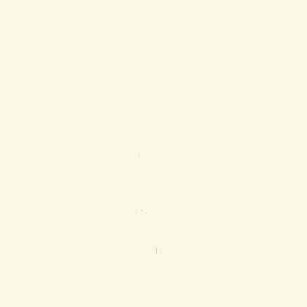 COCCOCCOC(=O)CS.[SbH3]